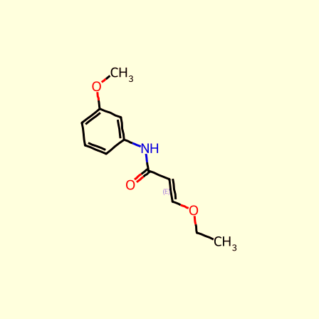 CCO/C=C/C(=O)Nc1cccc(OC)c1